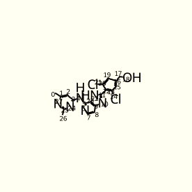 Cc1cc(Nc2nccc3nc(-c4c(Cl)cc(CO)cc4Cl)[nH]c23)nc(C)n1